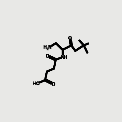 CC(C)(C)CC(=O)C(CN)NC(=O)CCC(=O)O